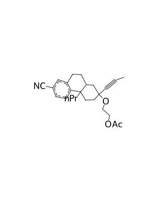 CC#CC1(OCCOC(C)=O)CCC2(CCC)c3ccc(C#N)cc3CCC2C1